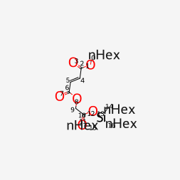 CCCCCCOC(=O)C=CC(=O)OCC(=O)O[Si](CCCCCC)(CCCCCC)CCCCCC